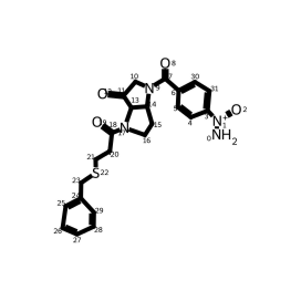 N[N+](=O)c1ccc(C(=O)N2CC(=O)C3C2CCN3C(=O)[CH]CSCc2ccccc2)cc1